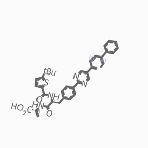 C=C(/C=C\C(=C/C)c1ccccc1)c1cnc(-c2ccc(C[C@H](NC(=O)c3ccc(C(C)(C)C)s3)C(=O)N[C@H](C)C(=O)O)cc2)nc1